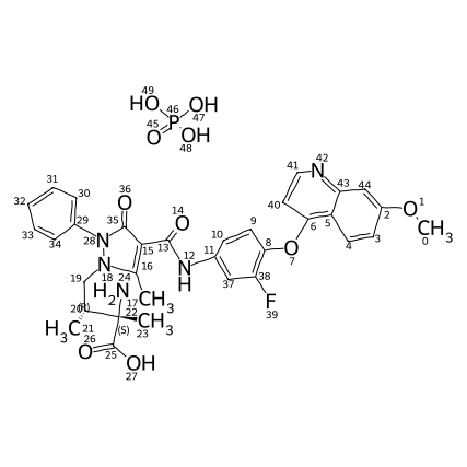 COc1ccc2c(Oc3ccc(NC(=O)c4c(C)n(C[C@@H](C)[C@](C)(N)C(=O)O)n(-c5ccccc5)c4=O)cc3F)ccnc2c1.O=P(O)(O)O